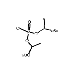 CCCCC(C)OP(=O)(Cl)OC(C)CCCC